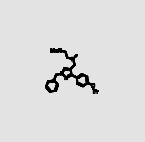 CNCCN(C)Cc1cn(Cc2ccccc2)nc1-c1ccc(OC(C)C)cc1